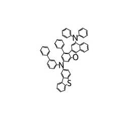 c1ccc(-c2cccc(N(c3cc(-c4ccccc4)c4c(c3)oc3c5ccccc5c(N(c5ccccc5)c5ccccc5)cc34)c3ccc4sc5ccccc5c4c3)c2)cc1